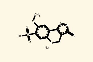 COc1cc2c(cc1S(=O)(=O)O)OCc1c-2ssc1=S.[Na]